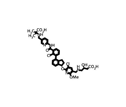 COc1nc(O[C@H]2CCc3c(-c4cccc(C(=O)Nc5ccc(CNC(C)(C)C(=O)O)cn5)c4Cl)cccc32)c(Cl)cc1CNC[C@@H](O)CC(=O)O